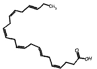 CC/C=C/C/C=C\C/C=C\C/C=C\C/C=C/C/C=C\CCC(=O)O